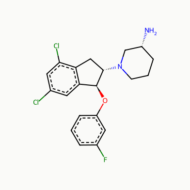 N[C@@H]1CCCN([C@H]2Cc3c(Cl)cc(Cl)cc3[C@@H]2Oc2cccc(F)c2)C1